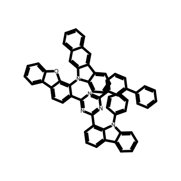 c1ccc(-c2cccc(-c3nc(-c4ccc5c(oc6ccccc65)c4-n4c5ccccc5c5cc6ccccc6cc54)nc(-c4cccc5c6ccccc6n(-c6ccccc6)c45)n3)c2)cc1